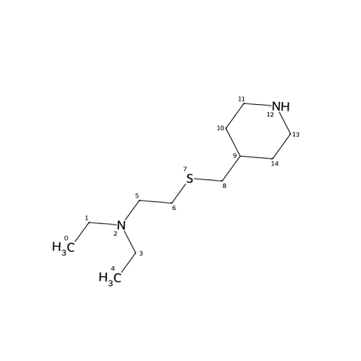 CCN(CC)CCSCC1CCNCC1